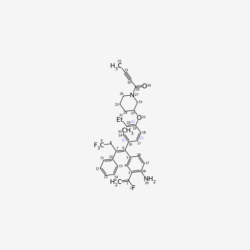 C=C(F)c1cc(C(=C(CC(F)(F)F)c2ccccc2)C(/C=C\C(=C\CC)OC2CCCN(C(=O)C#CC)C2)=C/C)ccc1N